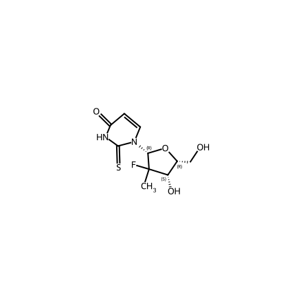 CC1(F)[C@@H](O)[C@@H](CO)O[C@H]1n1ccc(=O)[nH]c1=S